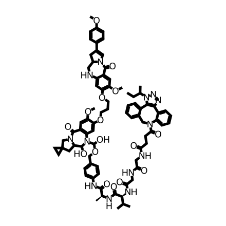 CCC(C)n1nnc2c1-c1ccccc1CN(C(=O)CCC(=O)NCC(=O)NCC(=O)N[C@H](C(=O)N[C@@H](C)C(=O)Nc1ccc(COC(O)N3c4cc(OCCCOc5cc6c(cc5OC)C(=O)N5C=C(c7ccc(OC)cc7)CC5CN6)c(OC)cc4C(=O)N4CC5(CC5)CC4C3O)cc1)C(C)C)c1ccccc1-2